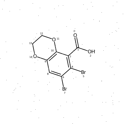 O=C(O)c1c(Br)c(Br)cc2c1OCCO2